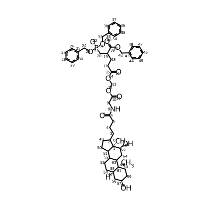 C[C@@]12C(CCCC(=O)NCC(=O)OCOC(=O)CCC(CP(=O)(OCc3ccccc3)OCc3ccccc3)C(=O)OCc3ccccc3)CCC1C1CC[C@@H]3C[C@H](O)CC[C@]3(C)C1C[C@@H]2O